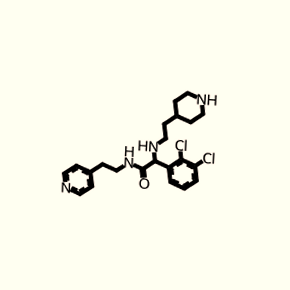 O=C(NCCc1ccncc1)C(NCCC1CCNCC1)c1cccc(Cl)c1Cl